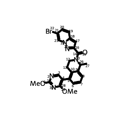 COc1ncc(-c2cccc3c2CCN(C(=O)c2cc4ccc(Br)cn4n2)C3C)c(OC)n1